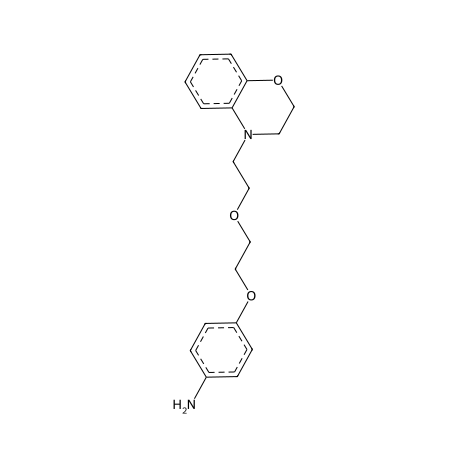 Nc1ccc(OCCOCCN2CCOc3ccccc32)cc1